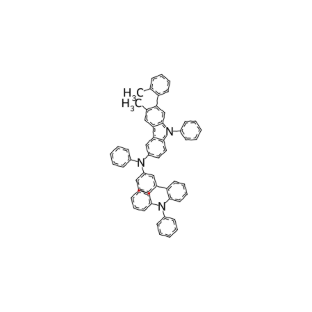 Cc1ccccc1-c1cc2c(cc1C)c1cc(N(c3ccccc3)c3cccc(-c4ccccc4N(c4ccccc4)c4ccccc4)c3)ccc1n2-c1ccccc1